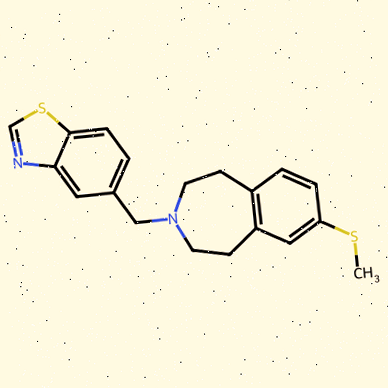 CSc1ccc2c(c1)CCN(Cc1ccc3scnc3c1)CC2